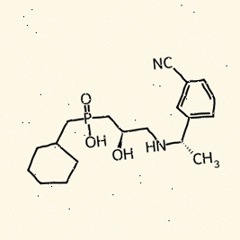 C[C@H](NC[C@@H](O)CP(=O)(O)CC1CCCCC1)c1cccc(C#N)c1